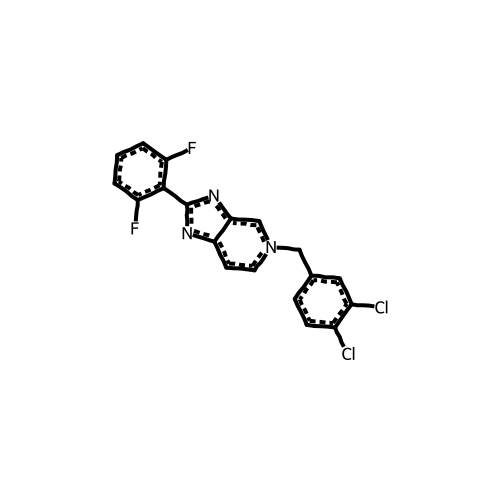 Fc1cccc(F)c1-c1nc2ccn(Cc3ccc(Cl)c(Cl)c3)cc-2n1